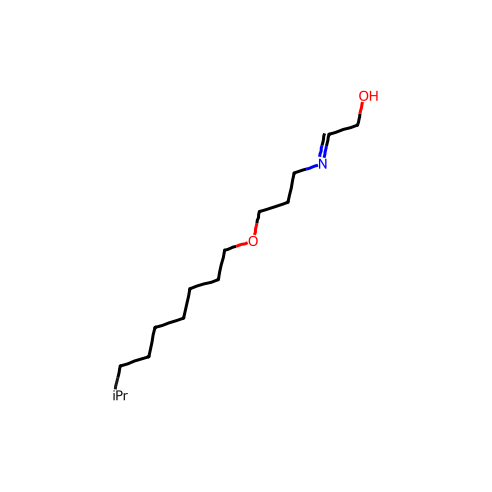 CC(C)CCCCCCCOCCCN=CCO